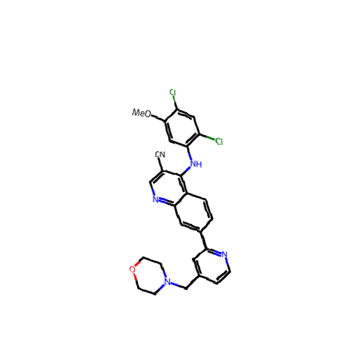 COc1cc(Nc2c(C#N)cnc3cc(-c4cc(CN5CCOCC5)ccn4)ccc23)c(Cl)cc1Cl